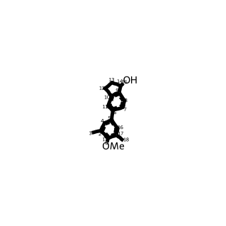 COc1c(C)cc(-c2ccc3c(c2)CCC3O)cc1C